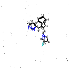 CC(C1=C(CCN2CCC(F)C2)Cc2ccccc21)c1cccnn1